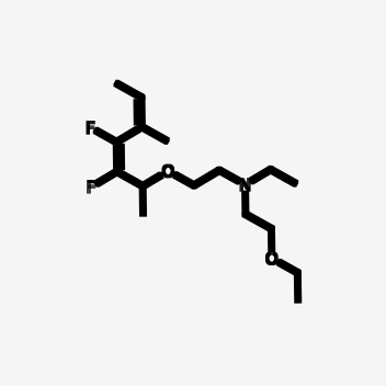 C/C=C(C)\C(F)=C(\F)C(C)OCCN(CC)CCOCC